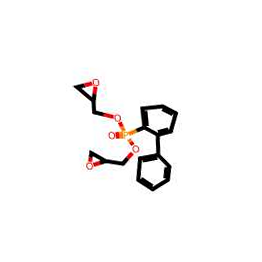 O=P(OCC1CO1)(OCC1CO1)c1ccccc1-c1ccccc1